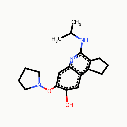 CC(C)Nc1nc2cc(ON3CCCC3)c(O)cc2c2c1CCC2